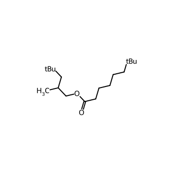 CC(COC(=O)CCCCCC(C)(C)C)CC(C)(C)C